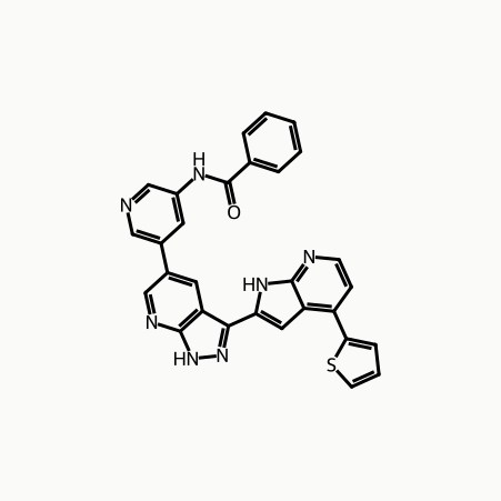 O=C(Nc1cncc(-c2cnc3[nH]nc(-c4cc5c(-c6cccs6)ccnc5[nH]4)c3c2)c1)c1ccccc1